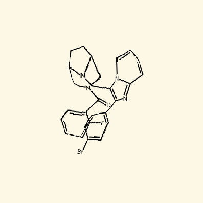 O=C(c1ccccc1F)N1CC2CCC(C1)N2Cc1c(-c2ccc(Br)cc2)nc2ccccn12